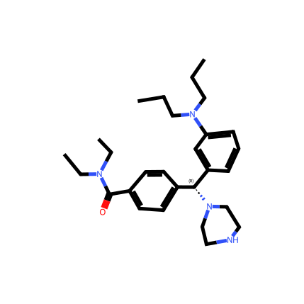 CCCN(CCC)c1cccc([C@@H](c2ccc(C(=O)N(CC)CC)cc2)N2CCNCC2)c1